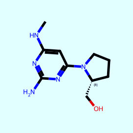 CNc1cc(N2CCC[C@@H]2CO)nc(N)n1